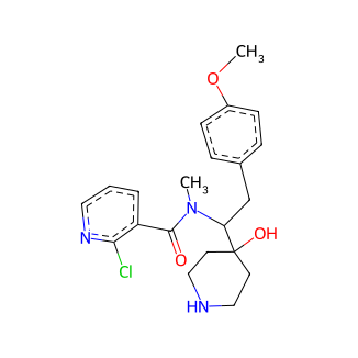 COc1ccc(CC(N(C)C(=O)c2cccnc2Cl)C2(O)CCNCC2)cc1